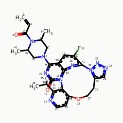 C=CC(=O)N1C(C)CN(c2nc(=O)n3c4nc(c(F)cc24)-n2nncc2CCOc2ccnc(C(C)C)c2-3)CC1C